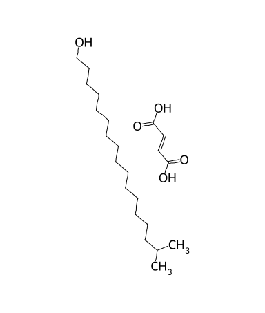 CC(C)CCCCCCCCCCCCCCCO.O=C(O)/C=C/C(=O)O